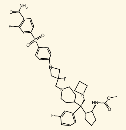 COC(=O)N[C@H]1CCC[C@@H]1[C@](CN1CCC1)(c1cccc(F)c1)C1CCN(CC2(F)CN(c3ccc(S(=O)(=O)c4ccc(C(N)=O)c(F)c4)cc3)C2)CC1